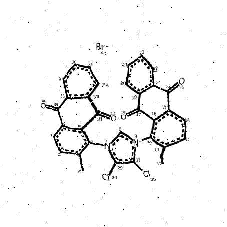 Cc1ccc2c(c1-n1c[n+](-c3c(C)ccc4c3C(=O)c3ccccc3C4=O)c(Cl)c1Cl)C(=O)c1ccccc1C2=O.[Br-]